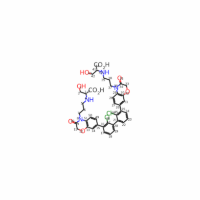 O=C(O)[C@H](CO)NCCCN1C(=O)COc2cc(-c3cccc(-c4cccc(-c5ccc6c(c5)OCC(=O)N6CCCN[C@@H](CO)C(=O)O)c4Cl)c3Cl)ccc21